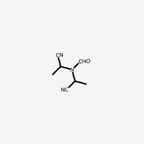 CC(C#N)N([C]=O)C(C)C#N